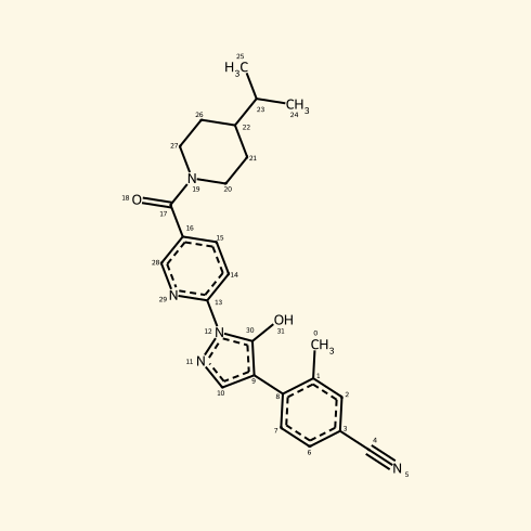 Cc1cc(C#N)ccc1-c1cnn(-c2ccc(C(=O)N3CCC(C(C)C)CC3)cn2)c1O